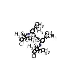 CCN(CC)c1ccc(/C=C/C2=[N+](C)c3ccc(Cl)cc3C2(C)CC)c(OCCCOc2cc(N(CC)CC)ccc2/C=C/C2=[N+](C)c3ccc(Cl)cc3C2(C)CC)c1